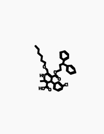 CCCCCCOCC1=C(C(=O)OCCC(c2ccccc2)c2ccccc2)C(c2cccc(Cl)c2)C(C(=O)O)=C(C)N1